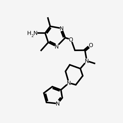 Cc1nc(OCC(=O)N(C)C2CCN(c3cccnc3)CC2)nc(C)c1N